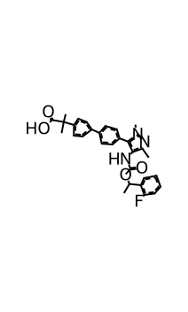 Cc1nn(C)c(-c2ccc(-c3ccc(C(C)(C)C(=O)O)cc3)cc2)c1NC(=O)OC(C)c1ccccc1F